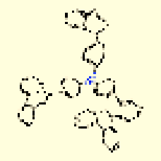 c1ccc(-c2cc3ccccc3c3ccccc23)c(-c2ccc(N(c3ccc(-c4cccc5ccccc45)cc3)c3ccc(-c4cc5ccccc5c5ccccc45)cc3)cc2)c1